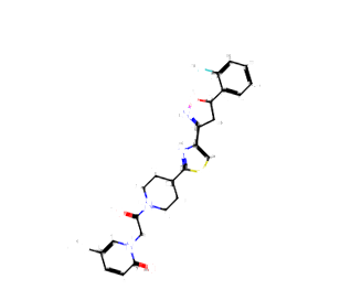 O=C(Cn1cc(C(F)(F)F)ccc1=O)N1CCC(c2nc(C3=NOC(c4ccccc4F)C3)cs2)CC1